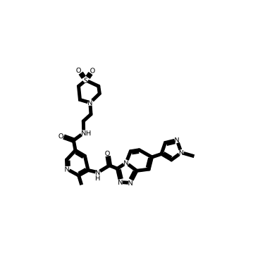 Cc1ncc(C(=O)NCCN2CCS(=O)(=O)CC2)cc1NC(=O)c1nnc2cc(-c3cnn(C)c3)ccn12